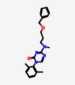 Cc1cccc(C)c1-n1cnc(N(C)CCCOCc2ccccc2)nc1=O